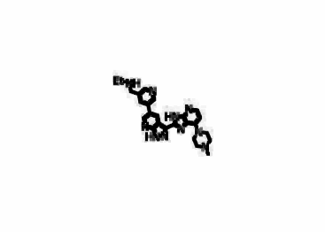 CCNCc1cncc(-c2cnc3[nH]nc(-c4nc5c(N6CCN(C)CC6)ccnc5[nH]4)c3c2)c1